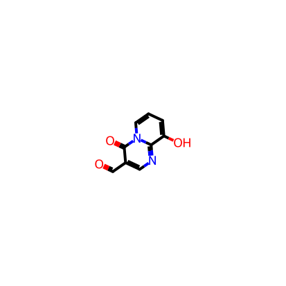 O=Cc1cnc2c(O)cccn2c1=O